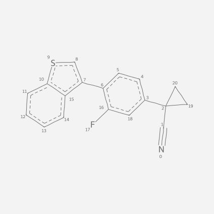 N#CC1(c2ccc(-c3csc4ccccc34)c(F)c2)CC1